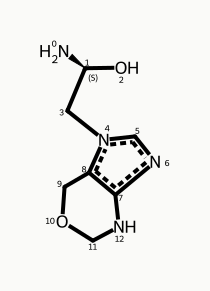 N[C@@H](O)Cn1cnc2c1COCN2